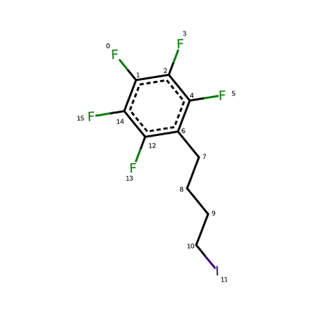 Fc1c(F)c(F)c(CCCCI)c(F)c1F